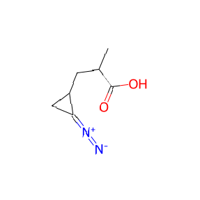 CC(CC1CC1=[N+]=[N-])C(=O)O